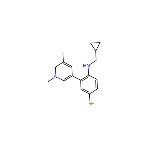 CC1=CC(c2cc(S)ccc2NCC2CC2)=CN(C)C1